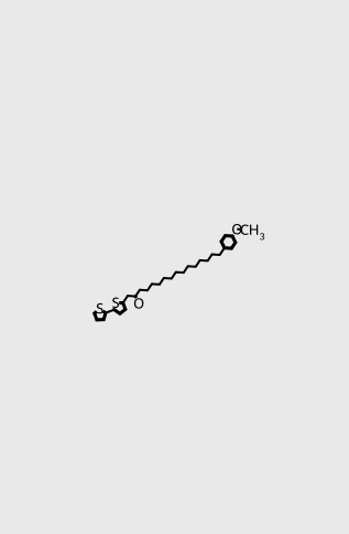 COc1ccc(CCCCCCCCCCCCCCC(=O)Cc2ccc(-c3cccs3)s2)cc1